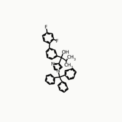 CC(C)C(O)(c1cccc(-c2ccc(F)cc2F)c1)c1cn(C(c2ccccc2)(c2ccccc2)c2ccccc2)cn1